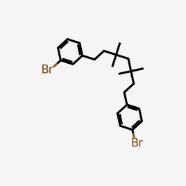 CC(C)(CCc1ccc(Br)cc1)CC(C)(C)CCc1cccc(Br)c1